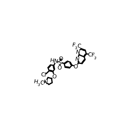 CN1CCC(Oc2cc(NS(=O)(=O)c3ccc(Oc4ccc5c(C(F)(F)F)cc(C(F)(F)F)nc5n4)cc3)ccc2Cl)C1